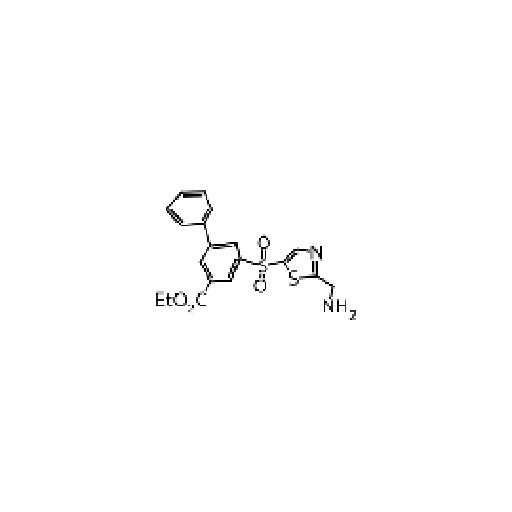 CCOC(=O)c1cc(-c2ccccc2)cc(S(=O)(=O)c2cnc(CN)s2)c1